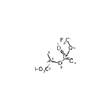 C[C@H](OS(=O)(=O)OC(F)(F)F)C(=O)O